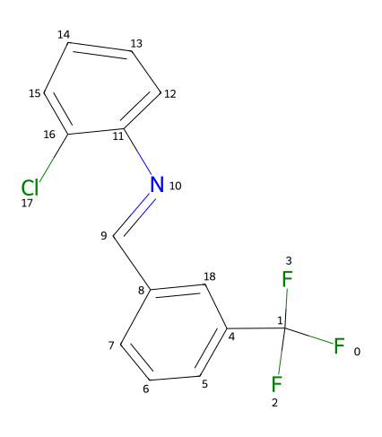 FC(F)(F)c1cccc(C=Nc2ccccc2Cl)c1